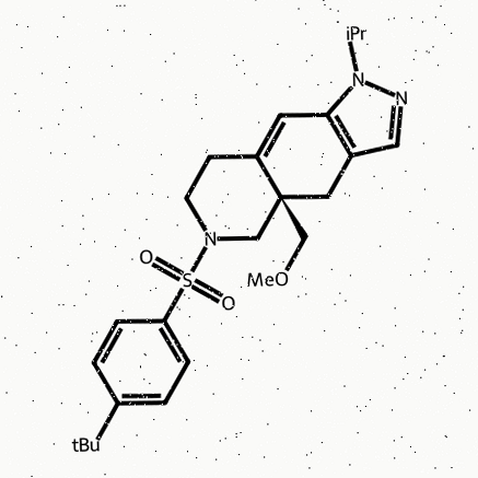 COC[C@]12Cc3cnn(C(C)C)c3C=C1CCN(S(=O)(=O)c1ccc(C(C)(C)C)cc1)C2